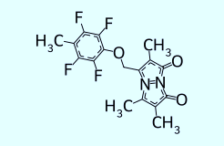 Cc1c(F)c(F)c(OCc2c(C)c(=O)n3c(=O)c(C)c(C)n23)c(F)c1F